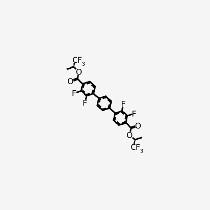 C[C@H](OC(=O)c1ccc(-c2ccc(-c3ccc(C(=O)O[C@@H](C)C(F)(F)F)c(F)c3F)cc2)c(F)c1F)C(F)(F)F